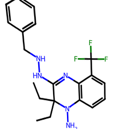 CCC1(CC)C(NNCc2ccccc2)=Nc2c(cccc2C(F)(F)F)N1N